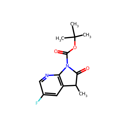 CC1C(=O)N(C(=O)OC(C)(C)C)c2ncc(F)cc21